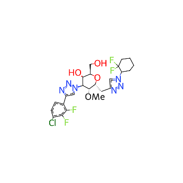 CO[C@@H]1[C@@H](n2cc(-c3ccc(Cl)c(F)c3F)nn2)[C@@H](O)[C@@H](CO)O[C@@H]1Cc1cn(C2CCCCC2(F)F)nn1